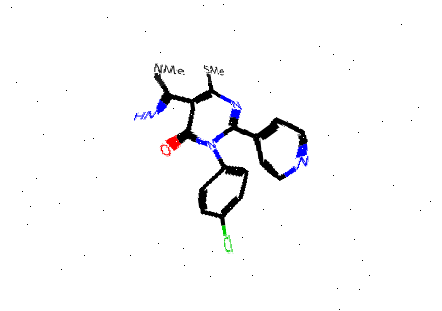 CNC(=N)c1c(SC)nc(-c2ccncc2)n(-c2ccc(Cl)cc2)c1=O